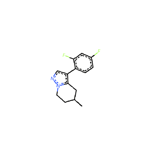 CC1CCn2ncc(-c3ccc(F)cc3F)c2C1